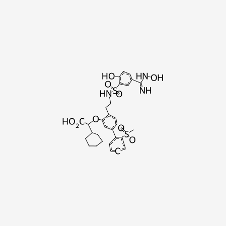 CS(=O)(=O)c1ccccc1-c1ccc(CCNS(=O)(=O)c2cc(C(=N)NO)ccc2O)c(OC(C(=O)O)C2CCCCC2)c1